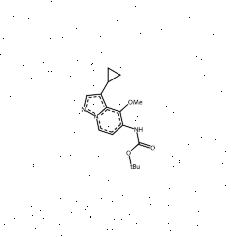 COc1c(NC(=O)OC(C)(C)C)ccn2ncc(C3CC3)c12